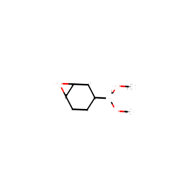 CCO[SiH](OCC)C1CCC2OC2C1